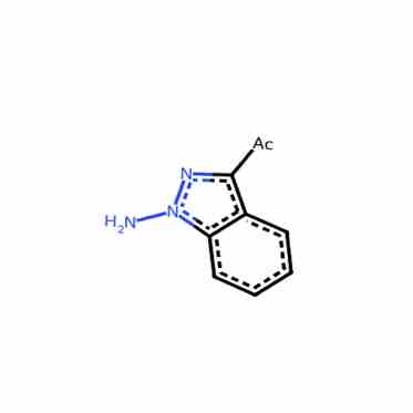 CC(=O)c1nn(N)c2ccccc12